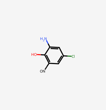 Nc1cc(Cl)cc(N=O)c1O